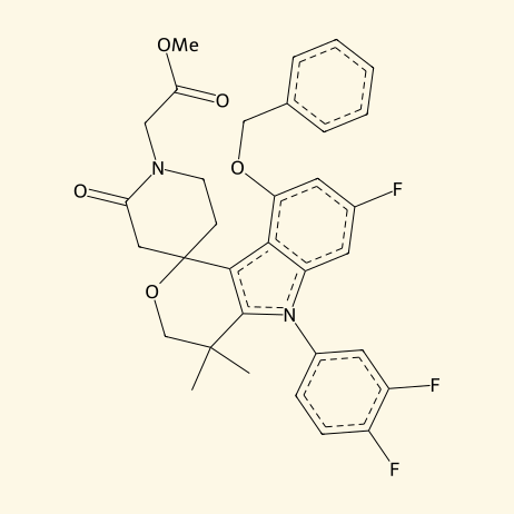 COC(=O)CN1CCC2(CC1=O)OCC(C)(C)c1c2c2c(OCc3ccccc3)cc(F)cc2n1-c1ccc(F)c(F)c1